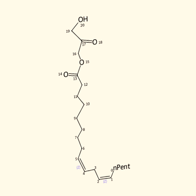 CCCCC/C=C\C/C=C\CCCCCCCC(=O)OCC(=O)CO